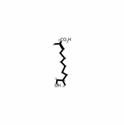 CC(=CCCCCCCC(C)CO)C(=O)O